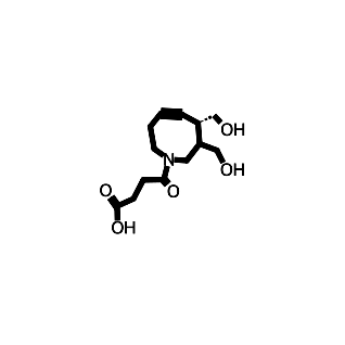 O=C(O)CCC(=O)N1CCC#C[C@H](CO)C(CO)C1